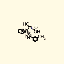 Cc1cccc(-c2nnc(OC3CC4CCC(C3)N4C)s2)c1.O=C(O)/C=C/C(=O)O